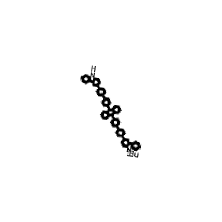 CC(C)(C)n1c2ccccc2c2cc(-c3ccc(-c4ccc(-c5c6ccccc6c(-c6ccc(-c7ccc(-c8ccc9[nH]c%10ccccc%10c9c8)cc7)cc6)c6ccccc56)cc4)cc3)ccc21